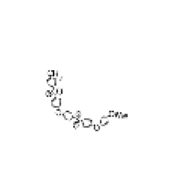 COc1ccc(Oc2ccc(S(=O)(=O)c3ccc(Oc4ccc(S(=O)(=O)c5ccc(C)cc5)cc4)cc3)cc2)cc1